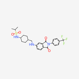 CC(C)S(=O)(=O)NC1CCC(CNc2ccc3c(c2)C(=O)N(c2ccc(C(F)(F)F)cc2)C3=O)CC1